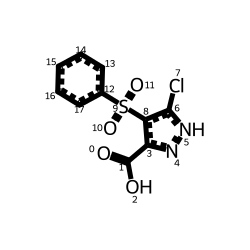 O=C(O)c1n[nH]c(Cl)c1S(=O)(=O)c1ccccc1